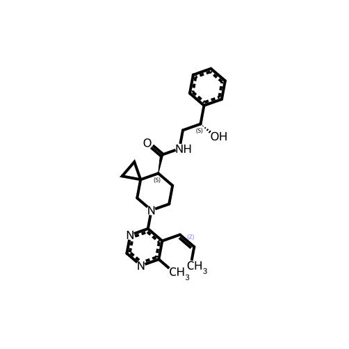 C/C=C\c1c(C)ncnc1N1CC[C@H](C(=O)NC[C@@H](O)c2ccccc2)C2(CC2)C1